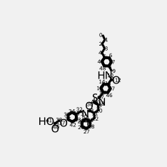 CCCCCc1ccc(CNC(=O)c2ccc(-c3nc(CC(Cc4ccccc4)C(=O)NCc4ccc(OCC(=O)O)cc4)cs3)cc2)cc1